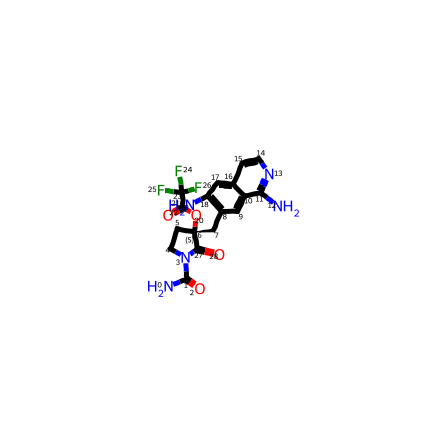 NC(=O)N1CC[C@](Cc2cc3c(N)nccc3cc2N)(OC(=O)C(F)(F)F)C1=O